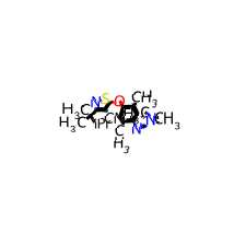 Cc1cc(Oc2snc(C(C)(C)C(C)C)c2C#N)c(C)cc1/N=C\N(C)C